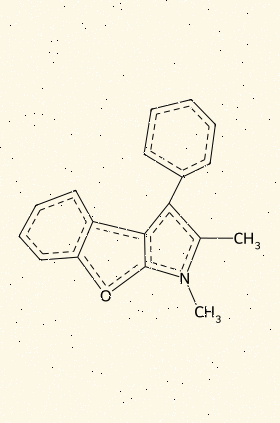 Cc1c(-c2ccccc2)c2c3ccccc3oc2n1C